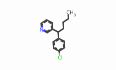 CCCCC(c1ccc(Cl)cc1)c1cccnc1